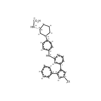 CCn1cc(-c2ccnc(Nc3ccc(N4CCC[C@@H](NC(=O)O)C4)cc3)n2)c(-c2cccnc2)n1